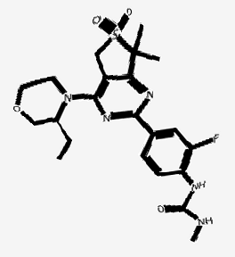 CC[C@H]1COCCN1c1nc(-c2ccc(NC(=O)NC)c(F)c2)nc2c1CS(=O)(=O)C2(C)C